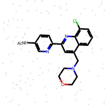 CC(=O)Nc1ccc(-c2cc(CN3CCOCC3)c3cccc(Cl)c3n2)nc1